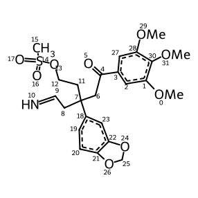 COc1cc(C(=O)CC(CC=N)(CCOS(C)(=O)=O)c2ccc3c(c2)OCO3)cc(OC)c1OC